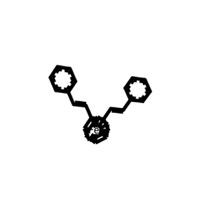 C(=C[C]12[CH]3[CH]4[CH]5[C]1(C=Cc1ccccc1)[Fe]43521678[CH]2[CH]1[CH]6[CH]7[CH]28)c1ccccc1